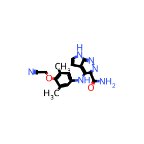 Cc1cc(Nc2c(C(N)=O)nnc3[nH]ccc23)cc(C)c1OCC#N